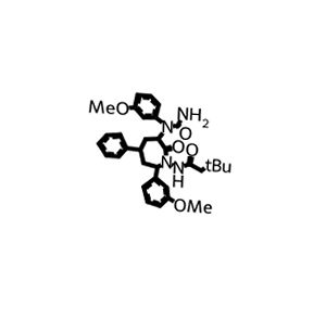 COc1cccc(C2CC(c3ccccc3)CC(N(C(N)=O)c3cccc(OC)c3)C(=O)N2NC(=O)CC(C)(C)C)c1